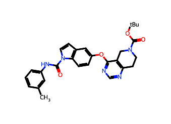 Cc1cccc(NC(=O)n2ccc3cc(Oc4ncnc5c4CN(C(=O)OC(C)(C)C)CC5)ccc32)c1